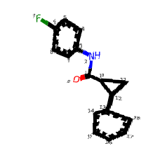 O=C(Nc1ccc(F)cc1)C1CC1c1ccccc1